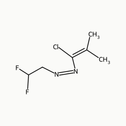 CC(C)=C(Cl)/N=N\CC(F)F